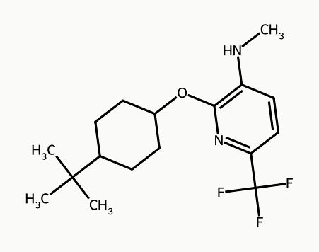 CNc1ccc(C(F)(F)F)nc1OC1CCC(C(C)(C)C)CC1